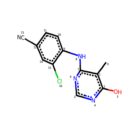 Cc1c(O)ncnc1Nc1ccc(C#N)cc1Cl